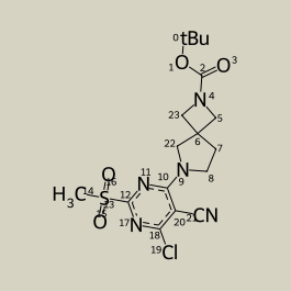 CC(C)(C)OC(=O)N1CC2(CCN(c3nc(S(C)(=O)=O)nc(Cl)c3C#N)C2)C1